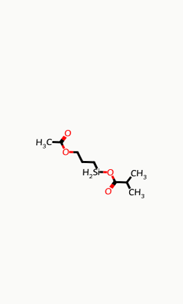 CC(=O)OCCC[SiH2]OC(=O)C(C)C